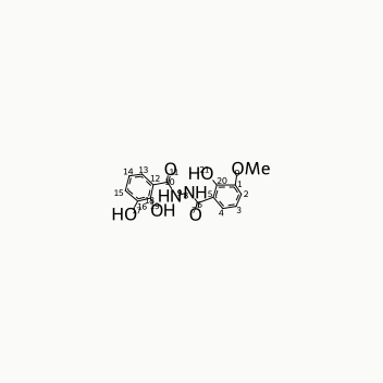 COc1cccc(C(=O)NNC(=O)c2cccc(O)c2O)c1O